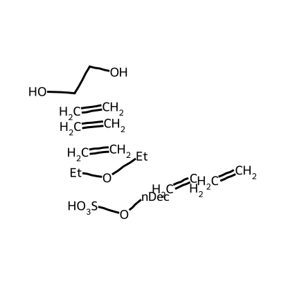 C=C.C=C.C=C.C=C.C=C.CCCCCCCCCCOS(=O)(=O)O.CCOCC.OCCO